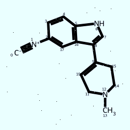 [C-]#[N+]c1ccc2[nH]cc(C3=CCN(C)CC3)c2c1